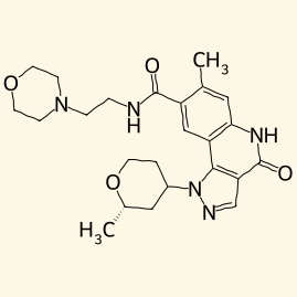 Cc1cc2[nH]c(=O)c3cnn(C4CCO[C@@H](C)C4)c3c2cc1C(=O)NCCN1CCOCC1